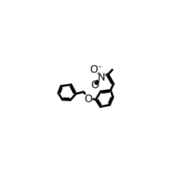 C/C(=C/c1cccc(OCc2ccccc2)c1)[N+](=O)[O-]